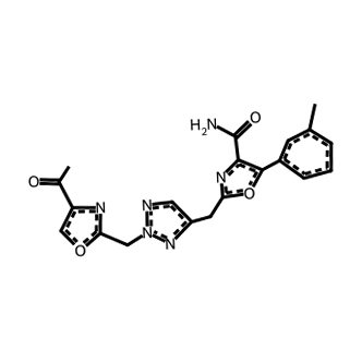 CC(=O)c1coc(Cn2ncc(Cc3nc(C(N)=O)c(-c4cccc(C)c4)o3)n2)n1